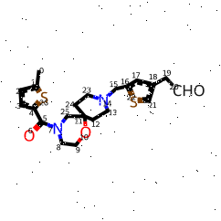 Cc1ccc(C(=O)N2CCOC3(CCN(Cc4cc(CC=O)cs4)CC3)C2)s1